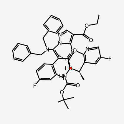 CCOC(=O)c1cnn2c(N(Cc3ccccc3)Cc3ccccc3)c(-c3ccc(F)cc3F)c(N[C@H](C)c3cc(F)cnc3O[C@@H](C)CNC(=O)OC(C)(C)C)nc12